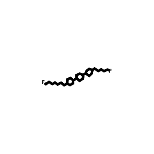 FCCCCCCCC1CCC(C2CCC(C3CCC(CCCCCF)CC3)CC2)CC1